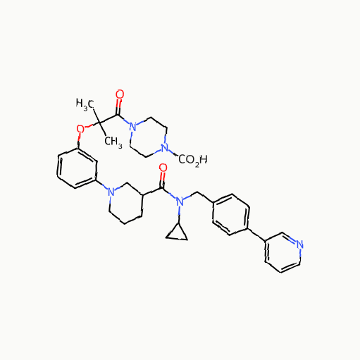 CC(C)(Oc1cccc(N2CCCC(C(=O)N(Cc3ccc(-c4cccnc4)cc3)C3CC3)C2)c1)C(=O)N1CCN(C(=O)O)CC1